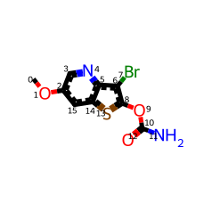 COc1cnc2c(Br)c(OC(N)=O)sc2c1